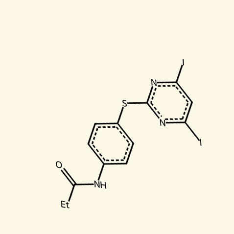 CCC(=O)Nc1ccc(Sc2nc(I)cc(I)n2)cc1